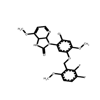 COC1=CC=NC2C1NC(=O)N2c1cc(OCc2c(OC)ccc(F)c2F)c(OC)cc1Cl